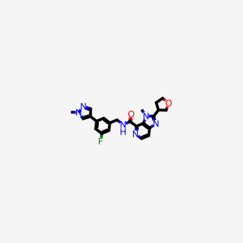 Cn1cc(-c2cc(F)cc(CNC(=O)c3nccc4nc(C5CCOC5)n(C)c34)c2)cn1